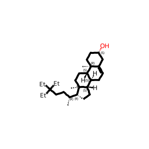 CCC(CC)(CC)CC[C@@H](C)[C@H]1CC[C@H]2[C@@H]3CC=C4C[C@@H](O)CC[C@]4(C)[C@H]3CC[C@]12C